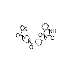 O=C(c1cccs1)N1CCN(C(=O)[C@H]2CC[C@H](Cn3c(=O)[nH]c4ccccc4c3=O)CC2)CC1